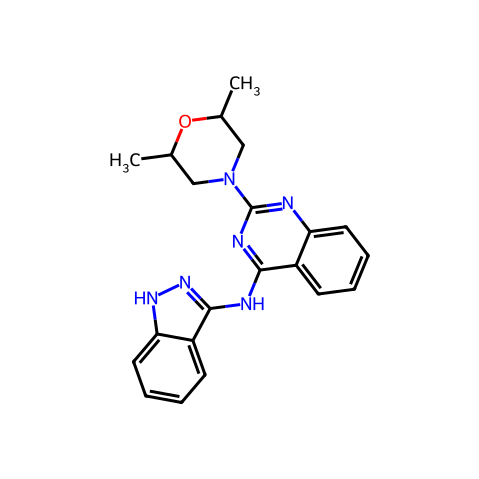 CC1CN(c2nc(Nc3n[nH]c4ccccc34)c3ccccc3n2)CC(C)O1